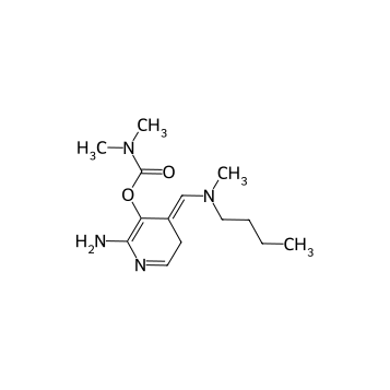 CCCCN(C)C=C1CC=NC(N)=C1OC(=O)N(C)C